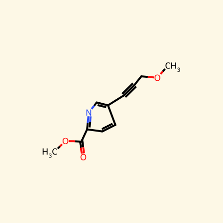 COCC#Cc1ccc(C(=O)OC)nc1